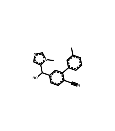 Cc1cccc(-c2cc(C(O)c3cncn3C)ccc2C#N)c1